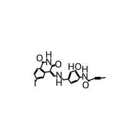 CC#CC(=O)Nc1ccc(CNC=C2C(=O)NC(=O)c3ccc(I)cc32)cc1O